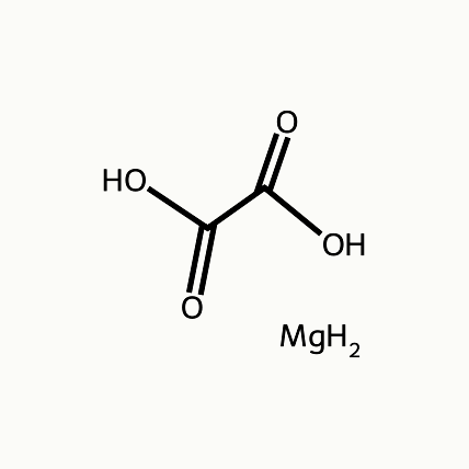 O=C(O)C(=O)O.[MgH2]